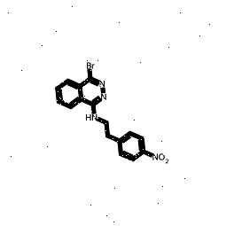 O=[N+]([O-])c1ccc(CCNc2nnc(Br)c3ccccc23)cc1